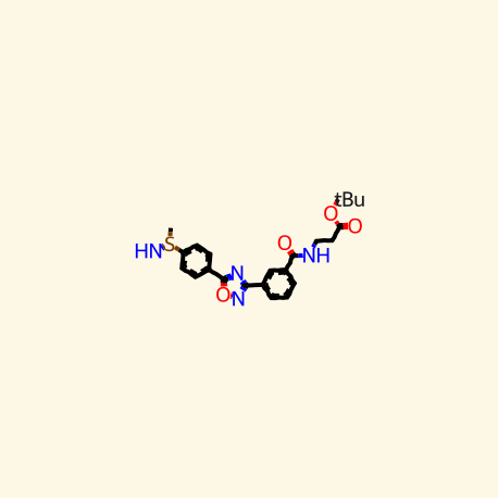 CS(=N)c1ccc(-c2nc(-c3cccc(C(=O)NCCC(=O)OC(C)(C)C)c3)no2)cc1